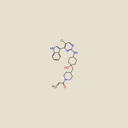 C=CC(=O)N1CCC(CC2(O)CCC(Nc3ncc(Cl)c(-c4c[nH]c5ccccc45)n3)CC2)CC1